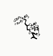 C=C(C)C(=O)OCCC(CC[N+](CCC)(CCC)CCC)OP(=O)(O)O